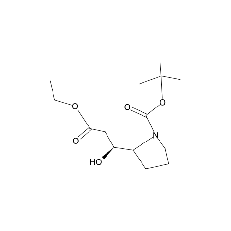 CCOC(=O)C[C@H](O)C1CCCN1C(=O)OC(C)(C)C